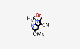 COc1cnc2c(c1)c(C#N)c(CBr)n2C